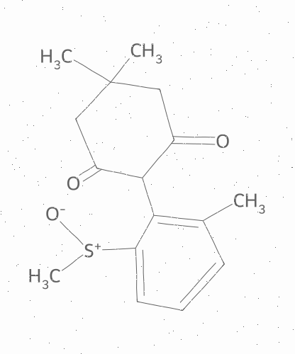 Cc1cccc([S+](C)[O-])c1C1C(=O)CC(C)(C)CC1=O